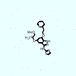 COC[C@H](C)Oc1cc(OCCc2ccccn2)c2[nH]nc(Nc3nccs3)c2c1